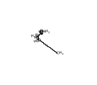 CCCCCCCCCCCCCCCCCCCCOP(O)OCC(C#N)(CCc1ccc2c(N)ncnn12)OC